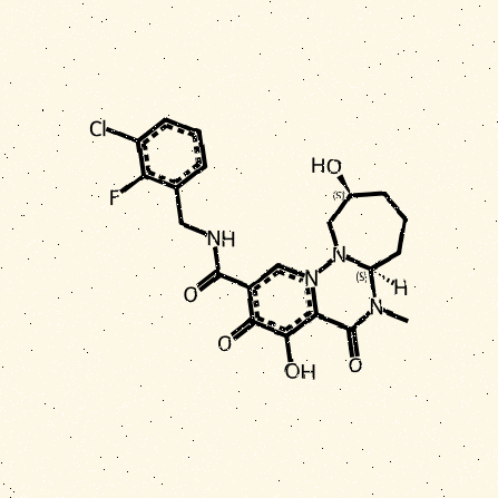 CN1C(=O)c2c(O)c(=O)c(C(=O)NCc3cccc(Cl)c3F)cn2N2C[C@@H](O)CCC[C@@H]12